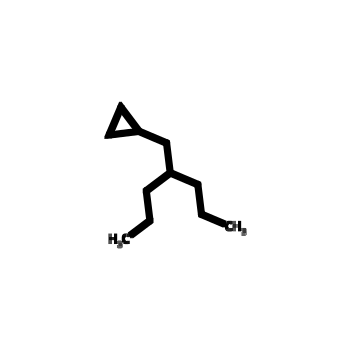 CCCC(CCC)CC1CC1